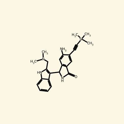 CN(C)Cc1[nH]c2ccccc2c1C1NC(=O)c2cc(C#C[Si](C)(C)C)c(N)cc21